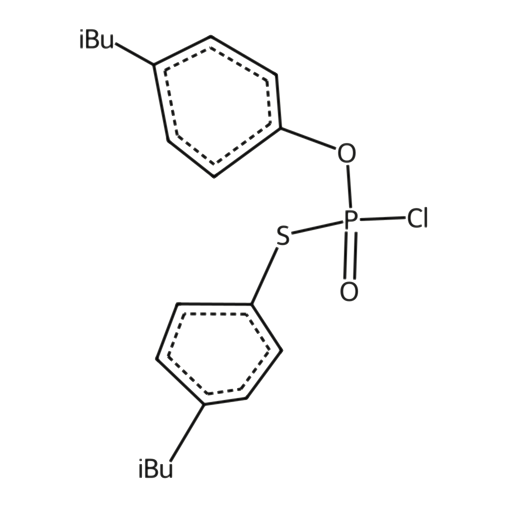 CCC(C)c1ccc(OP(=O)(Cl)Sc2ccc(C(C)CC)cc2)cc1